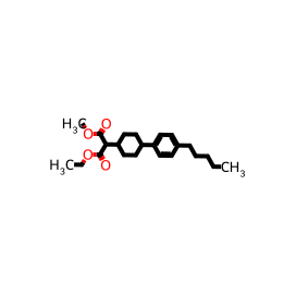 CCCCCc1ccc(C2CCC(C(C(=O)OC)C(=O)OCC)CC2)cc1